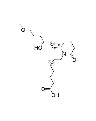 COCCCC(O)/C=C/[C@H]1CCCC(=O)N1C/C=C\CCCC(=O)O